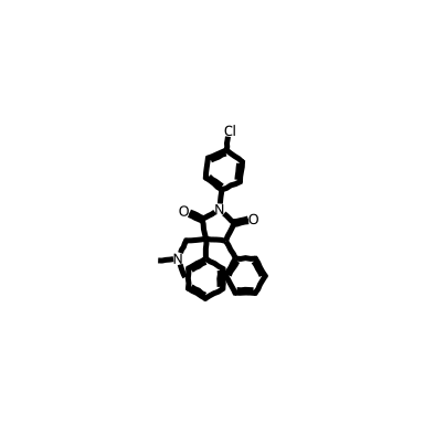 CN(C)CC1(c2ccccc2)C(=O)N(c2ccc(Cl)cc2)C(=O)C1c1ccccc1